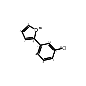 Clc1cccc(-c2ccco2)c1